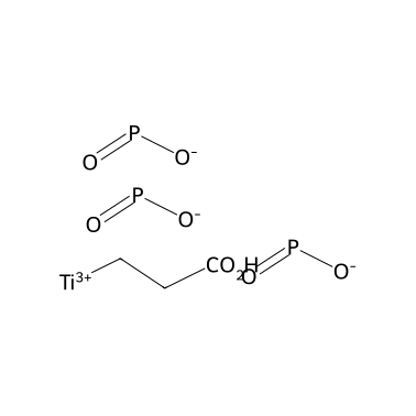 O=C(O)C[CH2][Ti+3].O=P[O-].O=P[O-].O=P[O-]